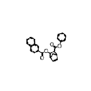 O=C(OC1C2C=CC(C2)C1C(=O)Oc1ccccc1)c1ccc2ccccc2c1